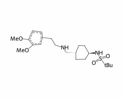 COc1ccc(CCNC[C@H]2CC[C@H](NS(=O)(=O)C(C)(C)C)CC2)cc1OC